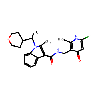 Cc1[nH]c(Cl)cc(=O)c1CNC(=O)c1c(C)n(C(C)C2CCOCC2)c2ccccc12